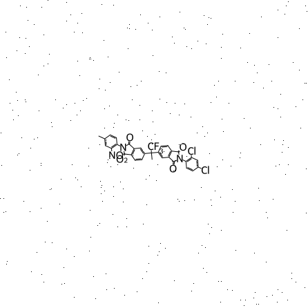 Cc1ccc(N2C(=O)c3ccc(C(C)(c4ccc5c(c4)C(=O)N(c4ccc(Cl)cc4Cl)C5=O)C(F)(F)F)cc3C2=O)c([N+](=O)[O-])c1